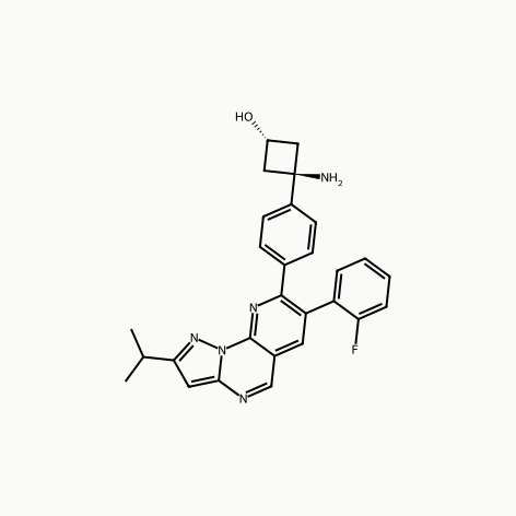 CC(C)c1cc2ncc3cc(-c4ccccc4F)c(-c4ccc([C@]5(N)C[C@H](O)C5)cc4)nc3n2n1